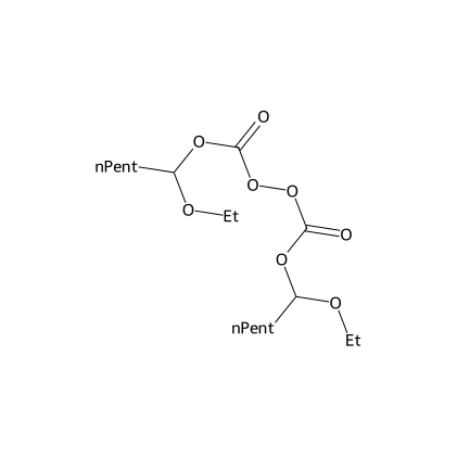 CCCCCC(OCC)OC(=O)OOC(=O)OC(CCCCC)OCC